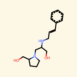 OCC(CN1CCCC1CO)NC/C=C/c1ccccc1